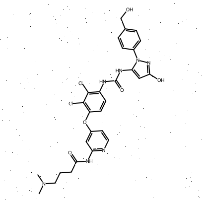 CN(C)CCCC(=O)Nc1cc(Oc2ccc(NC(=O)Nc3cc(O)nn3-c3ccc(CO)cc3)c(Cl)c2Cl)ccn1